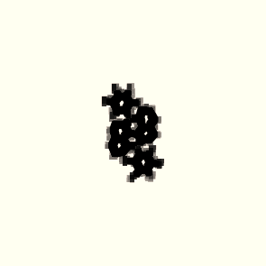 Fc1c(F)c(F)c(-n2c3ccc4cccc5c4c3-c3c4c(cccc42)ccc3n5-c2c(F)c(F)c(F)c(F)c2F)c(F)c1F